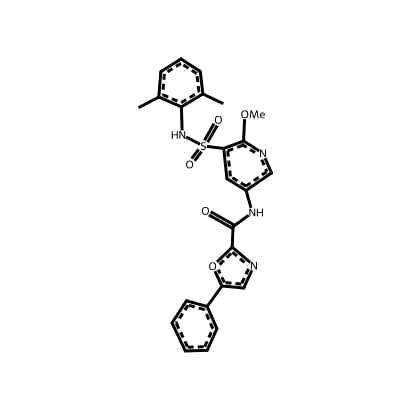 COc1ncc(NC(=O)c2ncc(-c3ccccc3)o2)cc1S(=O)(=O)Nc1c(C)cccc1C